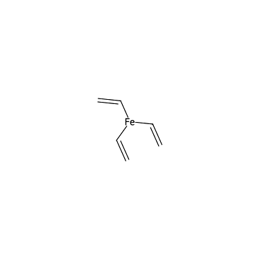 C=[CH][Fe]([CH]=C)[CH]=C